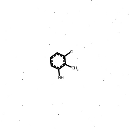 Cc1c([NH])cccc1Cl